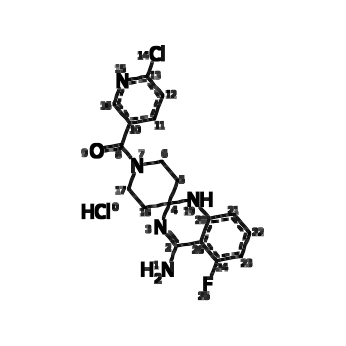 Cl.NC1=NC2(CCN(C(=O)c3ccc(Cl)nc3)CC2)Nc2cccc(F)c21